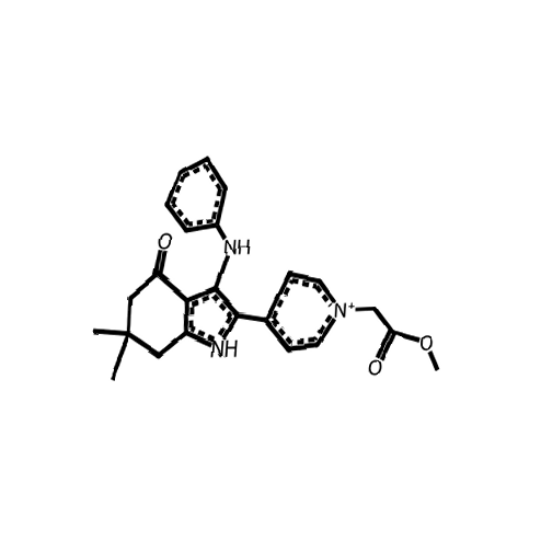 COC(=O)C[n+]1ccc(-c2[nH]c3c(c2Nc2ccccc2)C(=O)CC(C)(C)C3)cc1